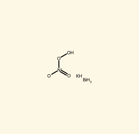 O=[N+]([O-])OO.[BiH3].[KH]